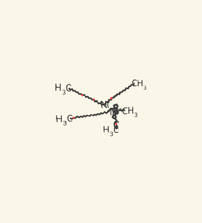 CCCCCCCCCCCCCCCCCCCCCCC#CCCc1ccccc1C1=C(CCCC)C=C(c2cccc(CCCCCC)c2)[N+]1=[N-].CCCCCCCCCCCCCCCCCCCCC[CH2][Ni][CH2]CCCCCCCCCCCCCCCCCCCCC